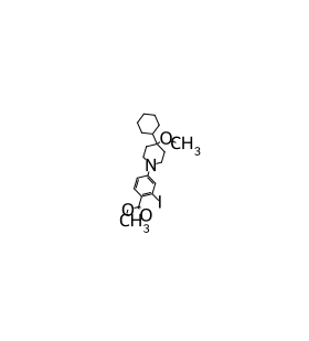 COC(=O)c1ccc(N2CCC(OC)(C3CCCCC3)CC2)cc1I